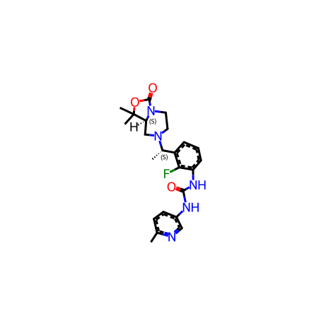 Cc1ccc(NC(=O)Nc2cccc([C@H](C)N3CCN4C(=O)OC(C)(C)[C@@H]4C3)c2F)cn1